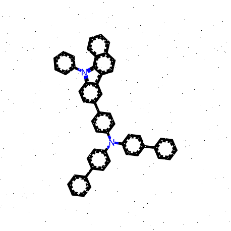 c1ccc(-c2ccc(N(c3ccc(-c4ccccc4)cc3)c3ccc(-c4ccc5c(c4)c4ccc6ccccc6c4n5-c4ccccc4)cc3)cc2)cc1